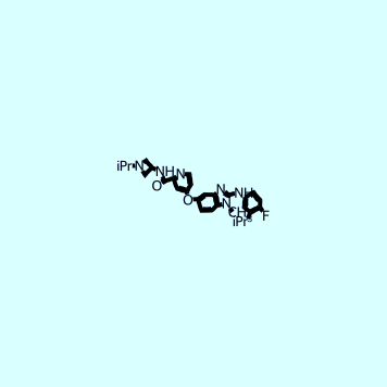 CC(C)c1cc(Nc2nc3cc(Oc4ccnc(C(=O)NC5CN(C(C)C)C5)c4)ccc3n2C)ccc1F